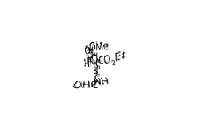 CCOC(=O)C1=C(CSCCNC=O)NC(C)=C(C(=O)OC)C1